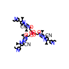 C=Cc1cc(-c2cc(C#N)c(N3CCN(C(=O)CCOP(=O)(OCCC(=O)N4CCN(c5nc(C6CC6)c(-c6ccnc(C=C)c6)cc5C#N)C[C@H]4C4CC4)OCCC(=O)N4CCN(c5nc(C6CC6)c(-c6ccnc(C=C)c6)cc5C#N)C[C@H]4C4CC4)[C@H](C4CC4)C3)nc2C2CC2)ccn1